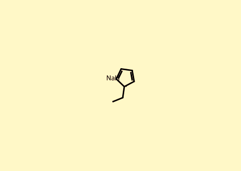 CC[C]1C=CC=C1.[NaH]